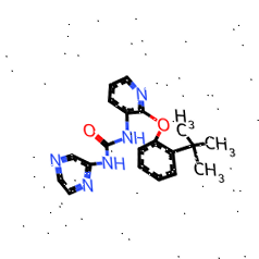 CC(C)(C)c1ccccc1Oc1ncccc1NC(=O)Nc1cnccn1